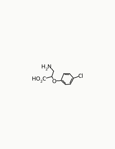 NCC(Oc1ccc(Cl)cc1)C(=O)O